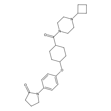 O=C(C1CCC(Oc2ccc(N3CCCC3=O)cc2)CC1)N1CCN(C2CCC2)CC1